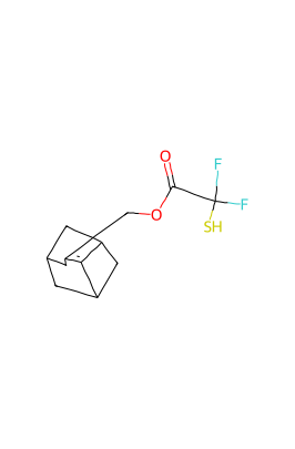 O=C(OCC1=C2C3CC(C1)CC2C3)C(F)(F)S